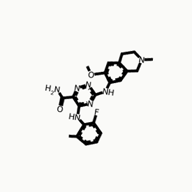 COc1cc2c(cc1Nc1nnc(C(N)=O)c(Nc3c(C)cccc3F)n1)CN(C)CC2